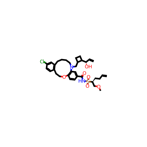 C=CCC[C@@H](COC)S(=O)(=O)NC(=O)c1ccc2c(c1)N(CC1CCC1[C@@H](O)C=C)CCCCc1cc(Cl)ccc1CCO2